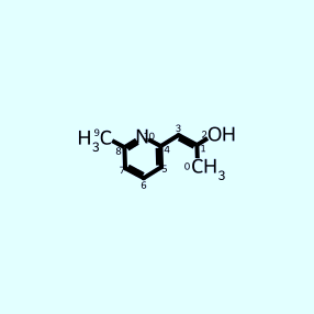 C/C(O)=C\c1cccc(C)n1